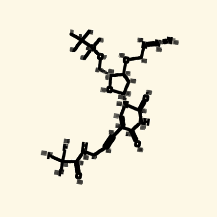 CC(C)(C)[Si](C)(C)OC[C@H]1O[C@@H](n2cc(C#CCNC(=O)C(F)(F)F)c(=O)[nH]c2=O)CC1OCN=[N+]=[N-]